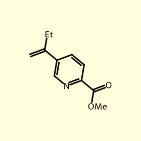 C=C(CC)c1ccc(C(=O)OC)nc1